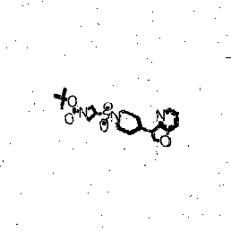 CC(C)(C)OC(=O)N1CC(S(=O)(=O)N2CCC(C3COc4cccnc43)CC2)C1